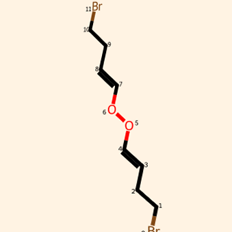 BrCCC=COOC=CCCBr